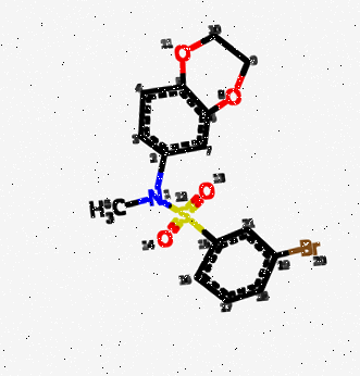 CN(c1ccc2c(c1)OCCO2)S(=O)(=O)c1cccc(Br)c1